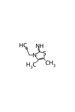 C#CCn1c(C)c(C)sc1=N